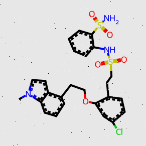 Cn1ccc2c(CCOc3cc(Cl)ccc3CCS(=O)(=O)Nc3ccccc3S(N)(=O)=O)cccc21